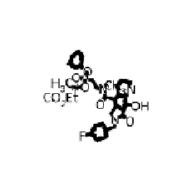 CCOC(=O)[C@H](C)OP(=O)(CCN(C)C(=O)c1c2c(c(O)c3ncccc13)C(=O)N(Cc1ccc(F)cc1)C2)Oc1ccccc1